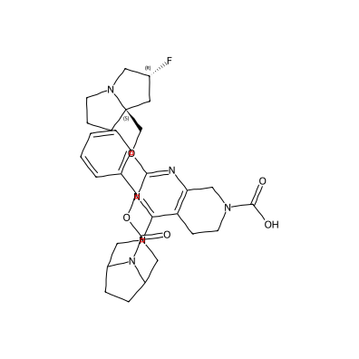 O=C(O)N1CCc2c(nc(OC[C@@]34CCCN3C[C@H](F)C4)nc2N2CC3CCC(C2)N3C(=O)OCc2ccccc2)C1